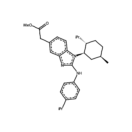 COC(=O)Cc1ccc2c(c1)nc(Nc1ccc(C(C)C)cc1)n2[C@@H]1C[C@H](C)CC[C@H]1C(C)C